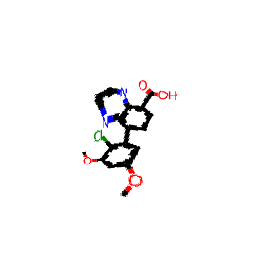 COc1cc(OC)c(Cl)c(-c2ccc(C(=O)O)c3nccnc23)c1